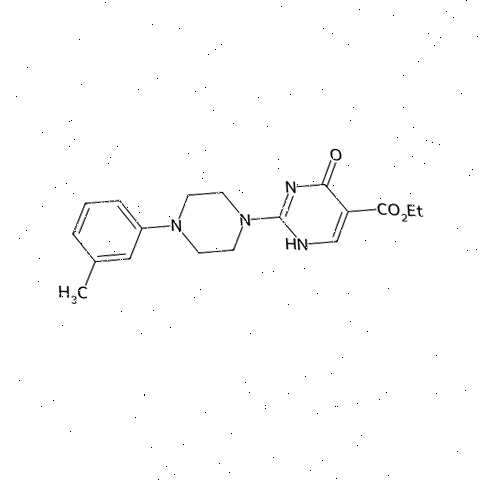 CCOC(=O)c1c[nH]c(N2CCN(c3cccc(C)c3)CC2)nc1=O